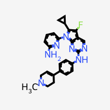 CN1CC=C(c2ccc(Nc3ncc4c(F)c(C5CC5)n(-c5cccc(N)n5)c4n3)cc2)CC1